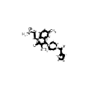 CCOC(=O)c1c(N2CCN(C(=O)c3cccs3)CC2)c2cc(C)ccc2n(CCN(C)C)c1=O